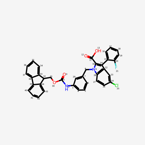 O=C(Nc1cccc(Cn2c(C(=O)O)c(-c3ccccc3F)c3cc(Cl)ccc32)c1)OCC1c2ccccc2-c2ccccc21